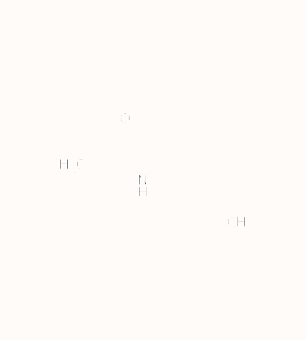 C#C[CH]NC(C)=O